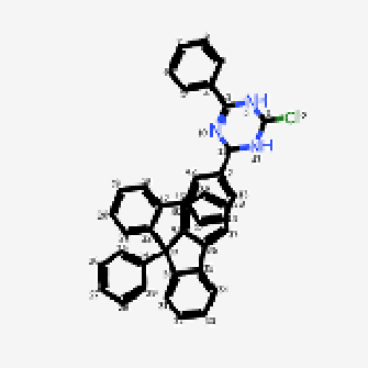 ClC1NC(c2ccccc2)=NC(c2cccc(-c3ccccc3C3(c4ccccc4)c4ccccc4-c4ccccc43)c2)N1